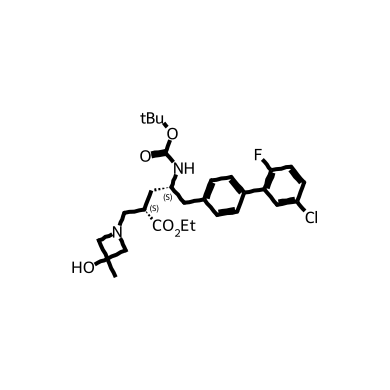 CCOC(=O)[C@@H](C[C@@H](Cc1ccc(-c2cc(Cl)ccc2F)cc1)NC(=O)OC(C)(C)C)CN1CC(C)(O)C1